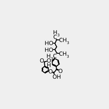 CC(C)C(O)CC(O)C(C)C.O=C(O)C(=O)c1ccccc1.O=C(O)c1ccccc1